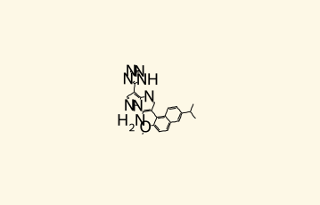 COc1ccc2cc(C(C)C)ccc2c1-c1cnc2c(-c3nnn[nH]3)cnn2c1N